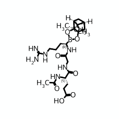 CC(=O)N[C@@H](CCC(=O)O)C(=O)NCC(=O)N[C@@H](CCCNC(=N)N)B1OC2C[C@@H]3C[C@@H](C3(C)C)[C@]2(C)O1